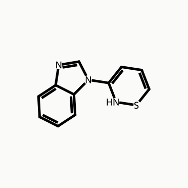 C1=CSNC(n2cnc3ccccc32)=C1